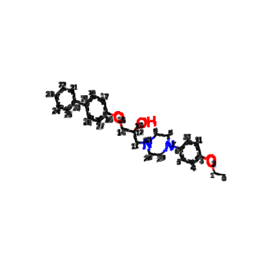 CCOc1ccc(N2CCN(CC(O)COc3ccc(-c4ccccc4)cc3)CC2)cc1